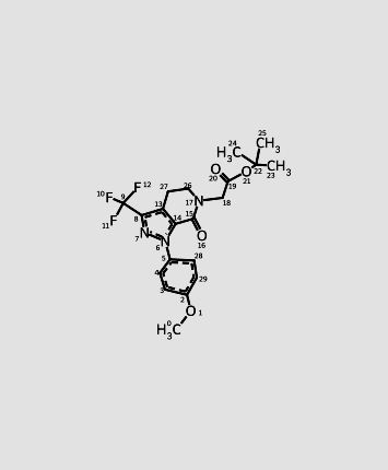 COc1ccc(-n2nc(C(F)(F)F)c3c2C(=O)N(CC(=O)OC(C)(C)C)CC3)cc1